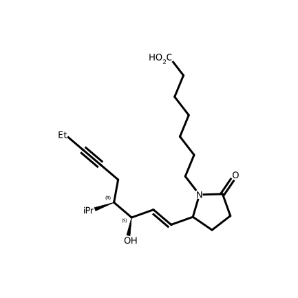 CCC#CC[C@H](C(C)C)[C@H](O)C=CC1CCC(=O)N1CCCCCCC(=O)O